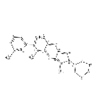 Cc1cccc(C(=O)N(C)c2cc3c(C)n(C4CCCCC4)nc3cc2C)n1